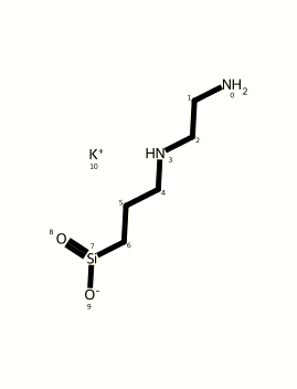 NCCNCCC[Si](=O)[O-].[K+]